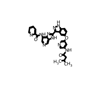 CC(C)CC(=O)Nc1cncc(Oc2ccc3[nH]nc(-c4nc5c(NC(=O)c6ccccn6)cncc5[nH]4)c3c2)c1